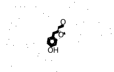 CO[C@H](CC=O)Cc1ccc(O)cc1